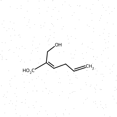 C=CCC=C(CO)C(=O)O